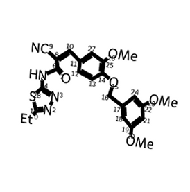 CCc1nnc(NC(=O)/C(C#N)=C\c2ccc(OCc3cc(OC)cc(OC)c3)c(OC)c2)s1